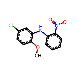 COc1ccc(Cl)cc1Nc1ccccc1[N+](=O)[O-]